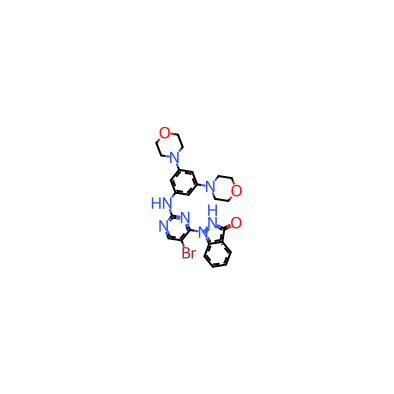 O=c1[nH]n(-c2nc(Nc3cc(N4CCOCC4)cc(N4CCOCC4)c3)ncc2Br)c2ccccc12